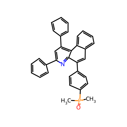 CP(C)(=O)c1ccc(-c2cc3ccccc3c3c(-c4ccccc4)cc(-c4ccccc4)nc23)cc1